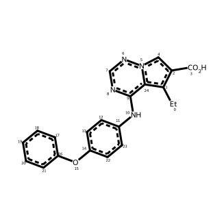 CCc1c(C(=O)O)cn2ncnc(Nc3ccc(Oc4ccccc4)cc3)c12